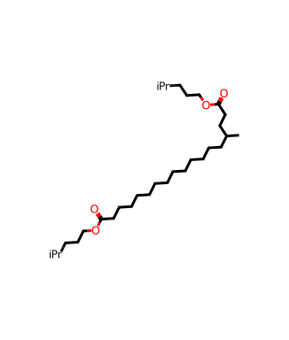 CC(C)CCCOC(=O)CCCCCCCCCCCCCC(C)CCC(=O)OCCCC(C)C